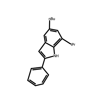 CCCCc1cc(C(C)C)c2[nH]c(-c3ccccc3)cc2c1